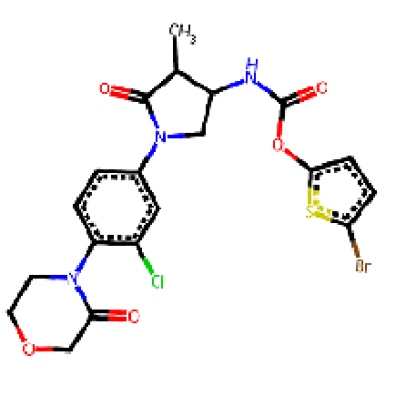 CC1C(=O)N(c2ccc(N3CCOCC3=O)c(Cl)c2)CC1NC(=O)Oc1ccc(Br)s1